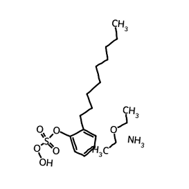 CCCCCCCCCc1ccccc1OS(=O)(=O)OO.CCOCC.N